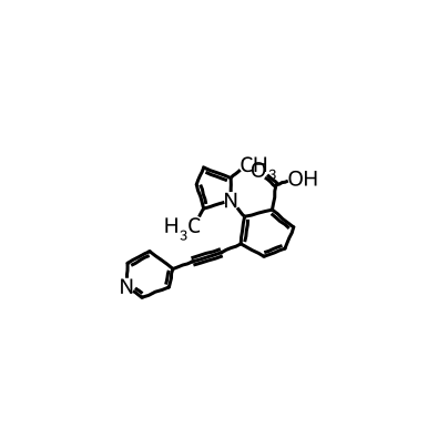 Cc1ccc(C)n1-c1c(C#Cc2ccncc2)cccc1C(=O)O